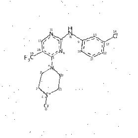 [O-][S+]1CCN(c2nc(Nc3cccc(Cl)c3)ncc2C(F)(F)F)CC1